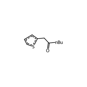 CCCCC(=O)Cc1cccs1